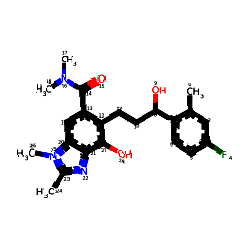 Cc1cc(F)ccc1C(O)CCc1c(C(=O)N(C)C)cc2c(nc(C)n2C)c1O